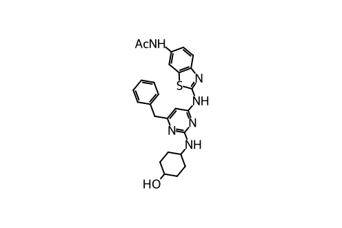 CC(=O)Nc1ccc2nc(Nc3cc(Cc4ccccc4)nc(NC4CCC(O)CC4)n3)sc2c1